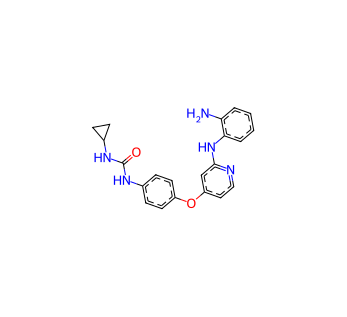 Nc1ccccc1Nc1cc(Oc2ccc(NC(=O)NC3CC3)cc2)ccn1